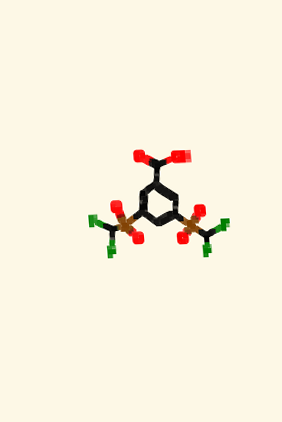 O=C(O)c1cc(S(=O)(=O)C(F)F)cc(S(=O)(=O)C(F)F)c1